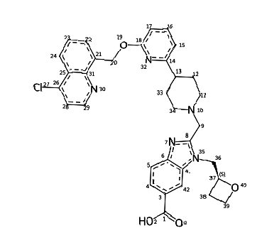 O=C(O)c1ccc2nc(CN3CCC(c4cccc(OCc5cccc6c(Cl)ccnc56)n4)CC3)n(C[C@@H]3CCO3)c2c1